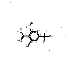 COc1nc(C(F)(F)F)cc(Cl)c1C(=O)O